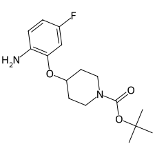 CC(C)(C)OC(=O)N1CCC(Oc2cc(F)ccc2N)CC1